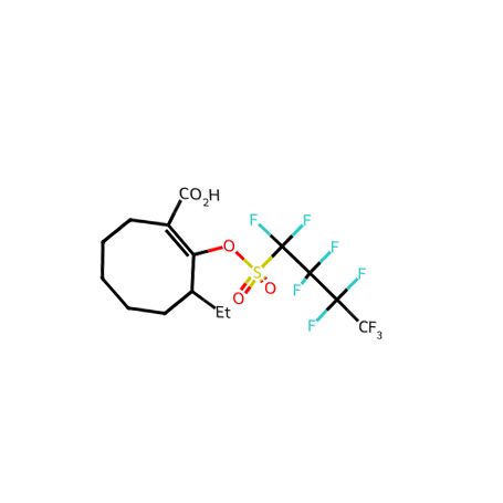 CCC1CCCCCC(C(=O)O)=C1OS(=O)(=O)C(F)(F)C(F)(F)C(F)(F)C(F)(F)F